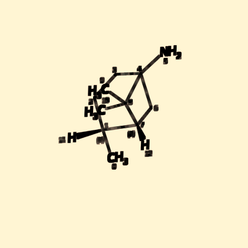 C[C@@H]1CCC2(N)C[C@H]1C2(C)C